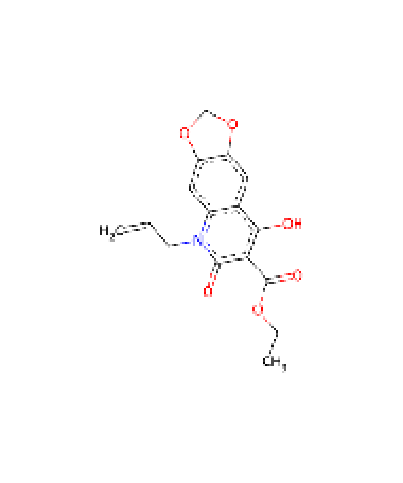 C=CCn1c(=O)c(C(=O)OCC)c(O)c2cc3c(cc21)OCO3